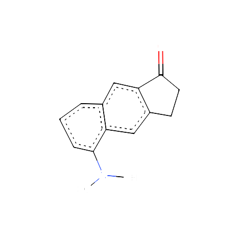 CN(C)c1cccc2cc3c(cc12)CCC3=O